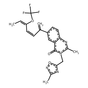 C=C(/C=C\C(=C/C)OC(F)(F)F)c1ccc2nc(C)n(Cc3nc(C)no3)c(=O)c2c1